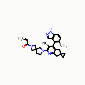 C=CC(=O)N1CC2(CCN(c3nc4c(c(-c5c(C)ccc6[nH]ncc56)c3C#N)CC3(CC3)C4)C2)C1